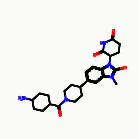 Cn1c(=O)n(C2CCC(=O)NC2=O)c2ccc(C3CCN(C(=O)C4CCC(N)CC4)CC3)cc21